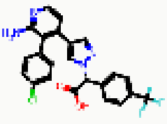 Nc1nccc(-c2cnn([C@@H](C(=O)O)c3ccc(C(F)(F)F)cc3)c2)c1-c1ccc(Cl)cc1